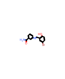 NC(=O)c1cccc(/N=C/c2cc(Br)ccc2O)c1